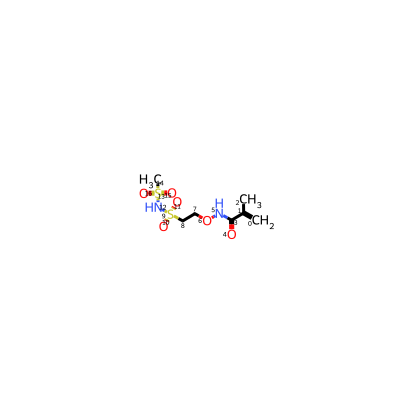 C=C(C)C(=O)NOCCS(=O)(=O)NS(C)(=O)=O